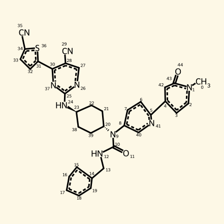 Cn1ccc(-c2ccc(N(C(=O)NCc3ccccc3)[C@H]3CC[C@H](Nc4ncc(C#N)c(-c5ccc(C#N)s5)n4)CC3)cn2)cc1=O